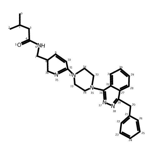 CC(C)CC(=O)NCC1C=CC(N2CCN(c3nnc(Cc4ccccc4)c4ccccc34)CC2)=NC1